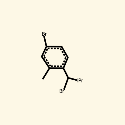 Cc1cc(Br)ccc1C(Br)C(C)C